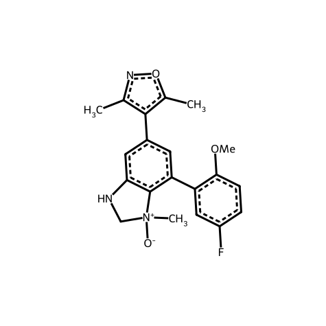 COc1ccc(F)cc1-c1cc(-c2c(C)noc2C)cc2c1[N+](C)([O-])CN2